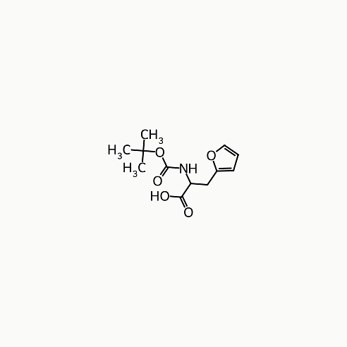 CC(C)(C)OC(=O)NC(Cc1ccco1)C(=O)O